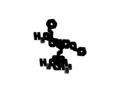 CN(CCc1ccccc1)C(=O)Cn1cc(C=CC(=O)OC(C)(C)C)c2cc(OCc3ccccc3)ccc21